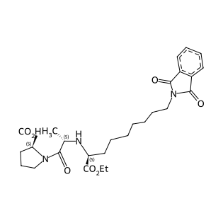 CCOC(=O)[C@H](CCCCCCCN1C(=O)c2ccccc2C1=O)N[C@@H](C)C(=O)N1CCC[C@H]1C(=O)O